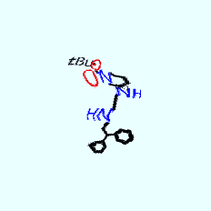 CC(C)(C)OC(=O)N1CCC[C@@H](NCCNCCC(c2ccccc2)c2ccccc2)C1